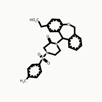 Cc1ccc(S(=O)(=O)N2CCN(C3c4ccccc4COc4ccc(CC(=O)O)cc43)C(=O)C2)cc1